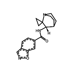 O=C(N[C@H]1C2CCN(CC2)C12CC2)c1ccc2cnoc2c1